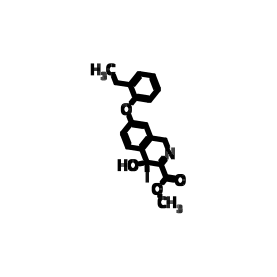 CCc1ccccc1Oc1ccc2c(c1)CN=C(C(=O)OC)C2(O)I